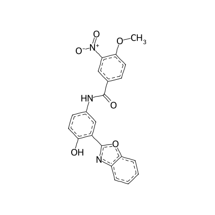 COc1ccc(C(=O)Nc2ccc(O)c(-c3nc4ccccc4o3)c2)cc1[N+](=O)[O-]